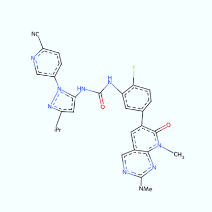 CNc1ncc2cc(-c3ccc(F)c(NC(=O)Nc4cc(C(C)C)nn4-c4ccc(C#N)nc4)c3)c(=O)n(C)c2n1